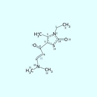 CCn1c(C)c(C(=O)/C=C/N(C)C)sc1=O